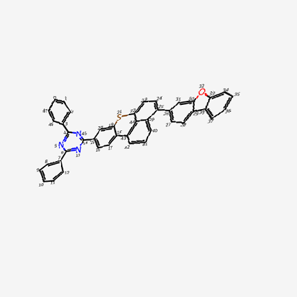 c1ccc(-c2nc(-c3ccccc3)nc(-c3ccc4c(c3)Sc3ccc(-c5ccc6c(c5)oc5ccccc56)c5cccc-4c35)n2)cc1